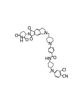 CN(c1ccc(C#N)c(Cl)c1)[C@H]1CC[C@H](NC(=O)c2ccc(N3CCC(CN4CCc5cc6c(cc5C4)C(=O)N(C4CCC(=O)NC4=O)C6=O)CC3)cc2)CC1